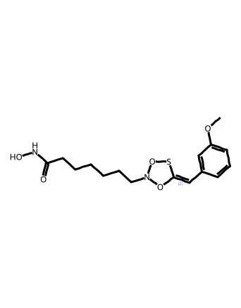 COc1cccc(/C=C2/ON(CCCCCCC(=O)NO)OS2)c1